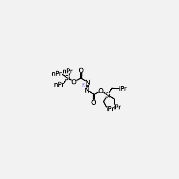 CCC[Si](CCC)(CCC)OC(=O)/N=N/C(=O)O[Si](CC(C)C)(CC(C)C)CC(C)C